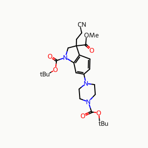 COC(=O)C1(CCC#N)CN(C(=O)OC(C)(C)C)c2cc(N3CCN(C(=O)OC(C)(C)C)CC3)ccc21